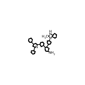 CC1Nc2ccccc2N1c1ccc(-c2cc(N)ccc2-c2cccc(-c3cc(-c4ccccc4)cc(-c4ccccc4)n3)c2)cc1